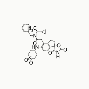 C[C@@H](C1CC1)N(Cc1ccccc1)C(=O)Cc1c(NC2CCS(=O)(=O)CC2)ccc2c1CCC21OC(=O)NC1=O